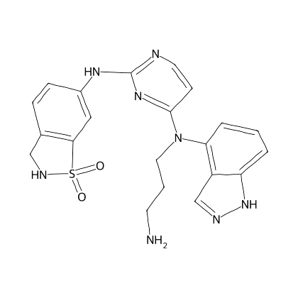 NCCCN(c1ccnc(Nc2ccc3c(c2)S(=O)(=O)NC3)n1)c1cccc2[nH]ncc12